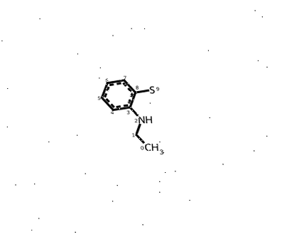 CCNc1ccccc1[S]